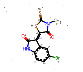 CN1C(=O)/C(=C2/C(=O)Nc3ccc(Br)cc32)SC1=S